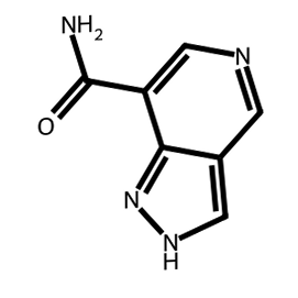 NC(=O)c1cncc2c[nH]nc12